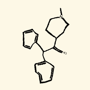 CN1CCC(C(=O)C(c2ccccc2)c2ccccc2)CC1